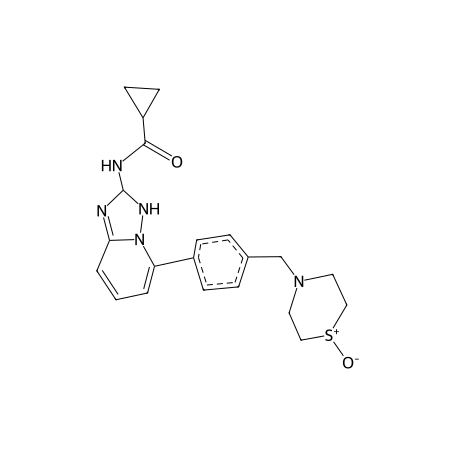 O=C(NC1N=C2C=CC=C(c3ccc(CN4CC[S+]([O-])CC4)cc3)N2N1)C1CC1